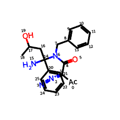 CC(=O)C(=[N+]=[N-])C(=O)N(Cc1ccccc1)C(N)(CC(C)O)c1ccccc1